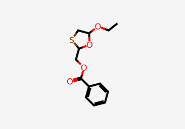 CCOC1CSC(COC(=O)c2ccccc2)O1